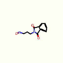 O=NCCCN1C(=O)c2ccccc2C1=O